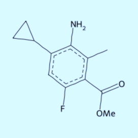 COC(=O)c1c(F)cc(C2CC2)c(N)c1C